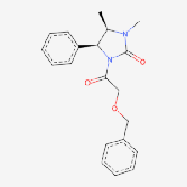 C[C@@H]1[C@H](c2ccccc2)N(C(=O)COCc2ccccc2)C(=O)N1C